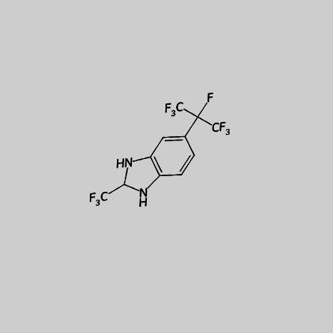 FC(F)(F)C1Nc2ccc(C(F)(C(F)(F)F)C(F)(F)F)cc2N1